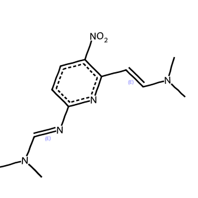 CN(C)/C=C/c1nc(/N=C/N(C)C)ccc1[N+](=O)[O-]